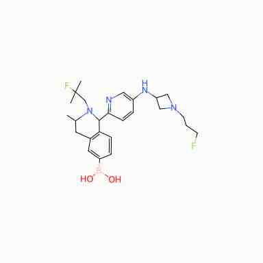 CC1Cc2cc(B(O)O)ccc2C(c2ccc(NC3CN(CCCF)C3)cn2)N1CC(C)(C)F